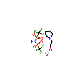 COCCN1CCCC1.O=S(=O)(NS(=O)(=O)C(F)(F)F)C(F)(F)F